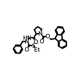 CCSC(=O)N(Cc1ccccc1)NC(=O)C1CCCN1C(=O)OCC1c2ccccc2-c2ccccc21